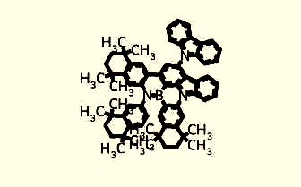 CC1(C)CCC(C)(C)c2cc(N3B4c5cc6c(cc5-n5c7ccccc7c7c(-n8c9ccccc9c9ccccc98)cc(c4c75)-c4cc5c(cc43)C(C)(C)CCC5(C)C)C(C)(C)CCC6(C)C)ccc21